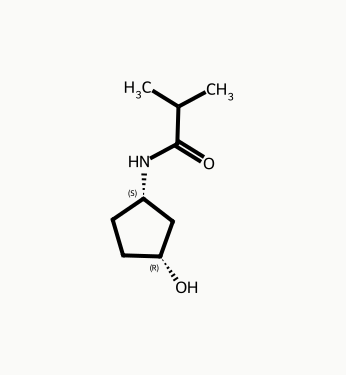 CC(C)C(=O)N[C@H]1CC[C@@H](O)C1